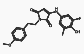 COc1ccc(CCN2C(=O)C=C(Nc3cc(C)c(O)c(F)c3)C2=O)cc1